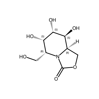 O=C1OC[C@@H]2[C@H](O)[C@@H](O)[C@@H](O)[C@@H](CO)N12